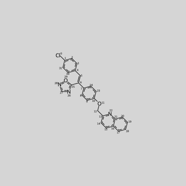 Clc1ccc(C=C(c2ccc(OCc3ccc4ccccc4n3)cc2)c2ncno2)cc1